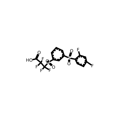 O=C(O)C(F)(F)C(F)(F)S(=O)(=O)c1cccc(S(=O)(=O)c2ccc(F)cc2F)c1